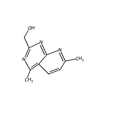 Cc1ccc2c(C)nc(CO)nc2n1